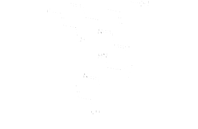 Cc1ccnc(C(NC(=O)c2cc(CO)cc(-c3ccc(F)cc3C)n2)C2CC2)c1